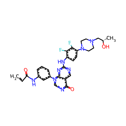 C=CC(=O)Nc1cccc(-n2cnc(=O)c3cnc(Nc4ccc(N5CCN(C[C@H](C)O)CC5)c(F)c4F)nc32)c1